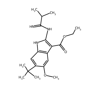 CCOC(=O)c1c(NC(=N)C(C)C)[nH]c2cc(C(C)(C)C)c(OC)cc12